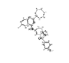 Cc1ccc2nc(N3CCCCCC3)nc(NC3=CC[C@@](C)(NC(=O)c4ccc(F)cc4)C=C3)c2c1